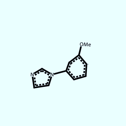 COc1[c]ccc(-n2ccnc2)c1